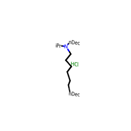 CCCCCCCCCCCCCCCCN(CCCCCCCCCC)C(C)C.Cl